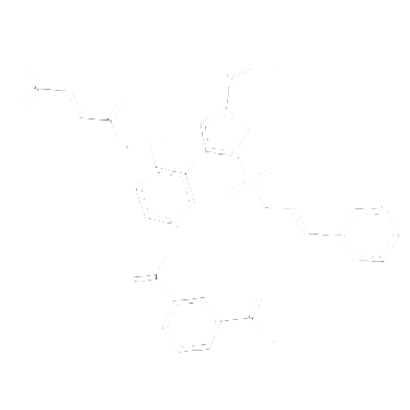 CNc1cc(-c2cnccc2C)n(S(=O)(=O)CC=Cc2cccnc2)c1.O=C(O)/C=C/C(=O)O.O=C(O)c1cccc(C(=O)O)c1